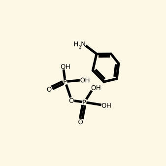 Nc1ccccc1.O=P(O)(O)OP(=O)(O)O